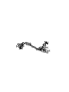 Cc1ncsc1-c1ccc(CNC(=O)[C@@H]2C[C@@H](O)CN2C(=O)[C@@H](NC(=O)CCOCCOCCOCCC(=O)NCCNc2ccc(-c3ccc4c(c3)C(=O)N(C(C(=O)Nc3nccs3)c3ccccc3)C4)cc2)C(C)(C)C)cc1